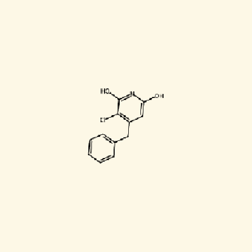 Oc1cc(Cc2ccccc2)c(Cl)c(O)n1